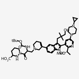 CCn1c(-c2cc(N3CCN(C4CC4)CC3)cnc2[C@H](C)OC)c(CC(C)(C)CO)c2cc(C3=CCCN(CC(NC(=O)OC(C)(C)C)C(=O)N4CCCC(C(=O)O)N4)C3)ccc21